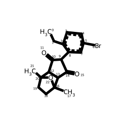 CCc1ccc(Br)cc1C1C(=O)C2C(C1=O)C1(C)CCC2(C)O1